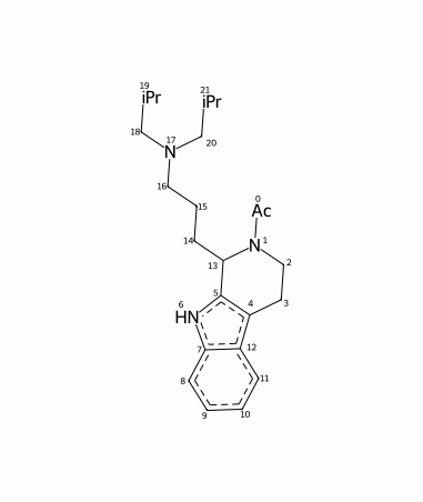 CC(=O)N1CCc2c([nH]c3ccccc23)C1CCCN(CC(C)C)CC(C)C